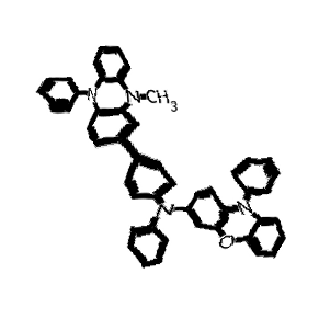 CN1c2ccccc2N(c2ccccc2)c2ccc(-c3ccc(N(c4ccccc4)c4ccc5c(c4)Oc4ccccc4N5c4ccccc4)cc3)cc21